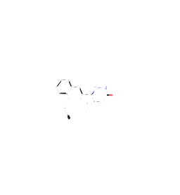 C#CCOc1ccccc1C=C(C)C1=NNC(=O)CC1C